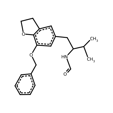 CC(C)C(Cc1cc2c(c(OCc3ccccc3)c1)OCC2)NC=O